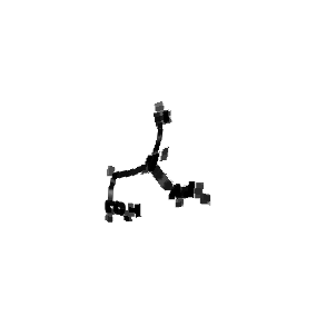 CCN([AsH2])CC(=O)O